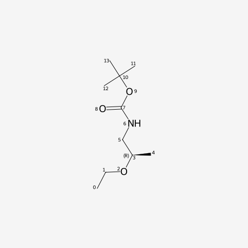 CCO[C@H](C)CNC(=O)OC(C)(C)C